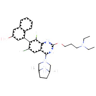 CCN(CC)CCCOc1nc(N2C[C@H]3CC[C@@H](C2)N3)c2cc(Cl)c(-c3cc(O)cc4ccccc34)c(F)c2n1